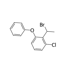 CC(Br)c1c(Cl)cccc1Oc1ccccc1